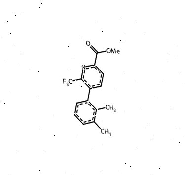 COC(=O)c1ccc(-c2cccc(C)c2C)c(C(F)(F)F)n1